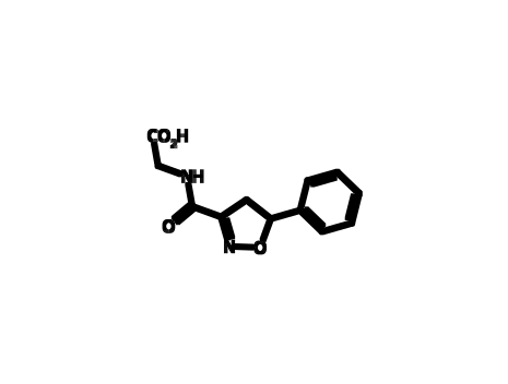 O=C(O)CNC(=O)C1=NOC(c2ccccc2)C1